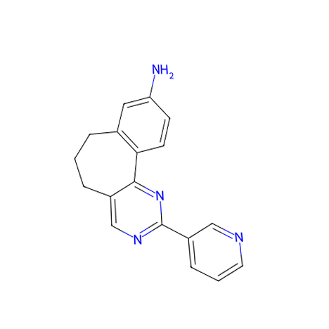 Nc1ccc2c(c1)CCCc1cnc(-c3cccnc3)nc1-2